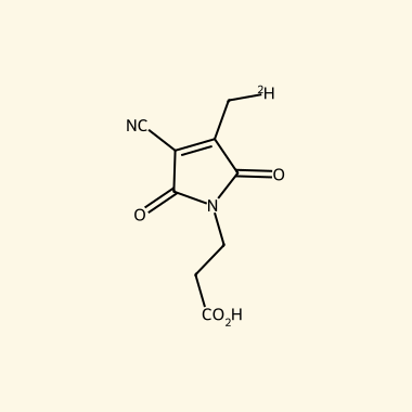 [2H]CC1=C(C#N)C(=O)N(CCC(=O)O)C1=O